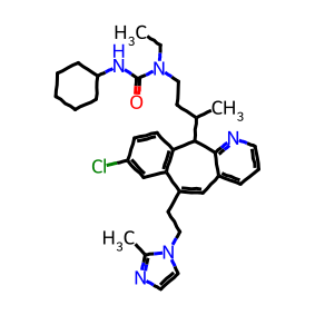 CCN(CCC(C)C1c2ccc(Cl)cc2C(CCn2ccnc2C)=Cc2cccnc21)C(=O)NC1CCCCC1